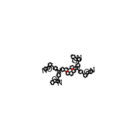 c1ccc2c(c1)ccc1cc(N(c3ccc(-c4cccc5c4oc4cnccc45)cc3)c3ccc(-c4ccnc5c4oc4ccccc45)cc3-c3ccc(-c4ccc5cc(N(c6ccc(-c7cccc8c7oc7cnccc78)cc6)c6ccc(-c7cncc8c7oc7ccccc78)cc6)ccc5c4)cc3)ccc12